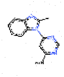 CNc1cc(-n2c(C)nc3ccccc32)ncn1